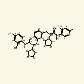 O=C(Nc1ccc(F)cc1F)N(Cc1cccc(CN(C(=O)Nc2ccc(F)cc2F)C2CCCC2)c1)C1CCCC1